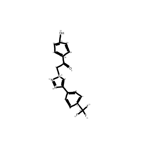 O=C(Cn1cc(-c2ccc(C(F)(F)F)cc2)nn1)c1ccc(O)cc1